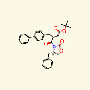 CC(C)(C)OC(=O)CC(Cc1ccc(-c2ccccc2)cc1)C(=O)N1C(=O)OC[C@@H]1Cc1ccccc1